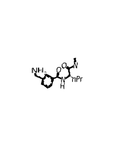 C=NC(=O)[C@H](CCC)NC(=O)c1cccc(CN)c1